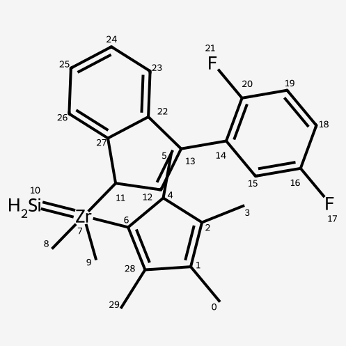 CC1=C(C)C(C)[C]([Zr]([CH3])([CH3])(=[SiH2])[CH]2C=C(c3cc(F)ccc3F)c3ccccc32)=C1C